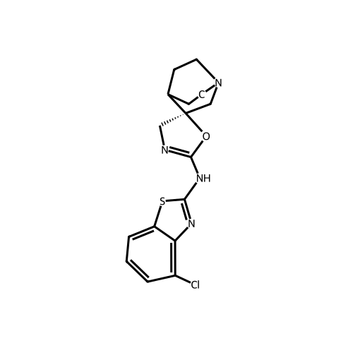 Clc1cccc2sc(NC3=NC[C@]4(CN5CCC4CC5)O3)nc12